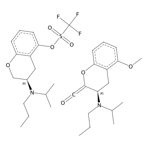 CCCN(C(C)C)[C@@H]1Cc2c(OC)cccc2OC1=C=O.CCCN(C(C)C)[C@H]1COc2cccc(OS(=O)(=O)C(F)(F)F)c2C1